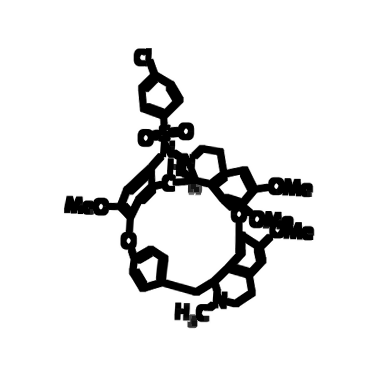 COc1cc2c3cc1Oc1ccc(cc1)CC1c4cc(c(OC)cc4CCN1C)Oc1c(OC)c(OC)cc4c1[C@H](C3)N(CC4)N2S(=O)(=O)c1ccc(Cl)cc1